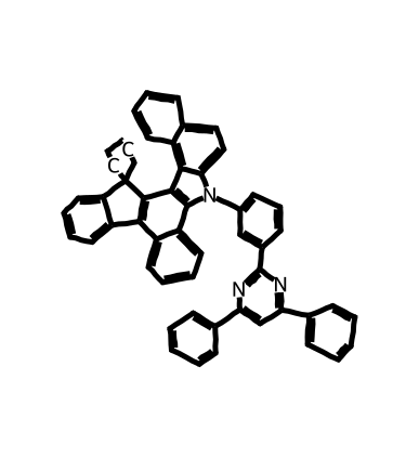 c1ccc(-c2cc(-c3ccccc3)nc(-c3cccc(-n4c5ccc6ccccc6c5c5c6c(c7ccccc7c54)-c4ccccc4C64CCCCC4)c3)n2)cc1